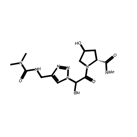 CNC(=O)[C@H]1CC(O)CN1C(=O)C(n1cc(CNC(=O)N(C)C)nn1)C(C)(C)C